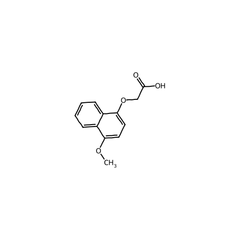 COc1ccc(OCC(=O)O)c2ccccc12